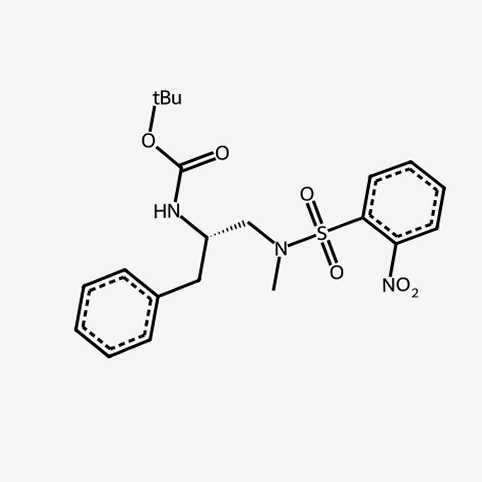 CN(C[C@H](Cc1ccccc1)NC(=O)OC(C)(C)C)S(=O)(=O)c1ccccc1[N+](=O)[O-]